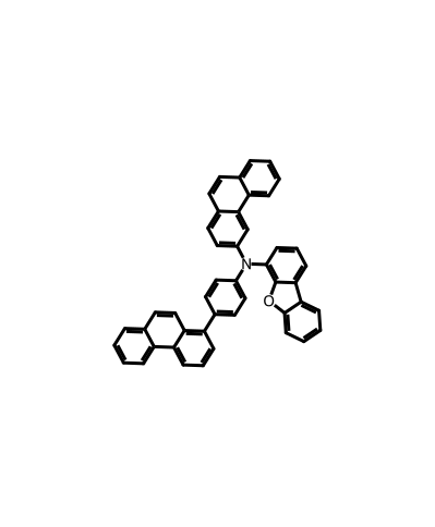 c1ccc2c(c1)ccc1ccc(N(c3ccc(-c4cccc5c4ccc4ccccc45)cc3)c3cccc4c3oc3ccccc34)cc12